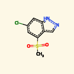 CS(=O)(=O)c1cc(Cl)cc2[nH]ncc12